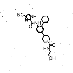 N#Cc1c[nH]c(C(=O)Nc2ccc(C3CCN(C(=O)NCCO)CC3)cc2C2=CCCCC2)n1